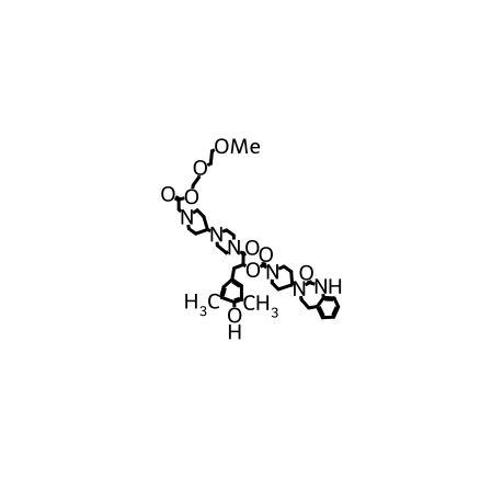 COCCOCCOC(=O)CN1CCC(N2CCN(C(=O)C(Cc3cc(C)c(O)c(C)c3)OC(=O)N3CCC(N4CCc5ccccc5NC4=O)CC3)CC2)CC1